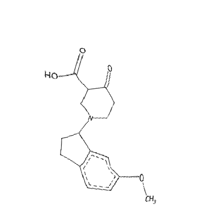 COc1ccc2c(c1)C(N1CCC(=O)C(C(=O)O)C1)CC2